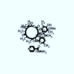 CC[C@H]1OC(=O)[C@H](C)[C@@H](O[C@H]2C[C@@](C)(OC)[C@@H](O)[C@H](C)O2)[C@H](C)[C@@H](O[C@@H]2O[C@H](C)C[C@H](N(C)C)[C@H]2O)[C@](C)(OC)C[C@@H](C)C(=O)[C@H](C)[C@@H](O)[C@]1(C)O.NNC(=O)c1ccncc1